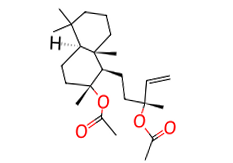 C=C[C@@](C)(CC[C@@H]1[C@@]2(C)CCCC(C)(C)[C@@H]2CC[C@@]1(C)OC(C)=O)OC(C)=O